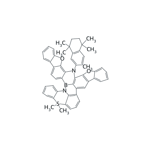 Cc1cc2c(cc1N1c3c(ccc4c3oc3ccccc34)B3c4c(cc5c(oc6ccccc65)c41)-c1cccc4c1N3c1ccccc1S4(C)C)C(C)(C)CCC2(C)C